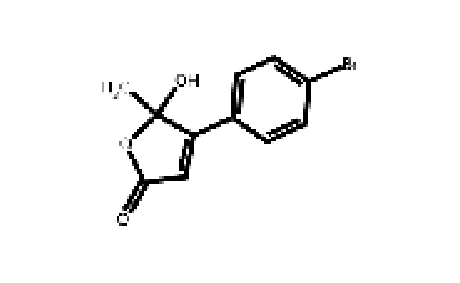 CC1(O)OC(=O)C=C1c1ccc(Br)cc1